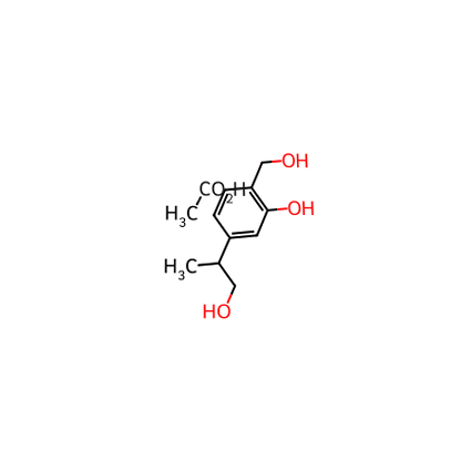 CC(=O)O.CC(CO)c1ccc(CO)c(O)c1